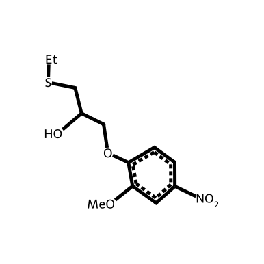 CCSCC(O)COc1ccc([N+](=O)[O-])cc1OC